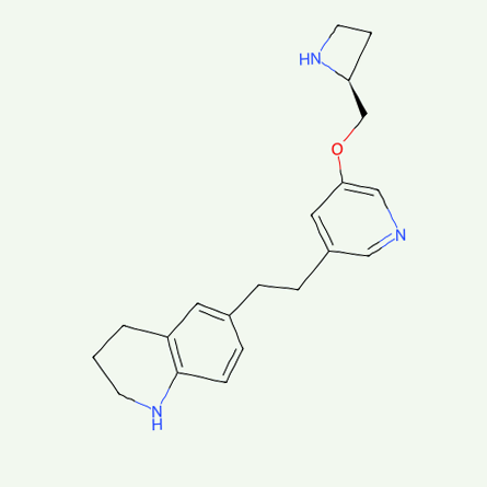 c1cc2c(cc1CCc1cncc(OC[C@@H]3CCN3)c1)CCCN2